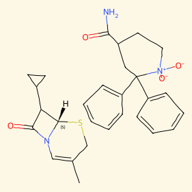 CC1=CN2C(=O)C(C3CC3)[C@@H]2SC1.NC(=O)C1CC[N+]([O-])([O-])C(c2ccccc2)(c2ccccc2)C1